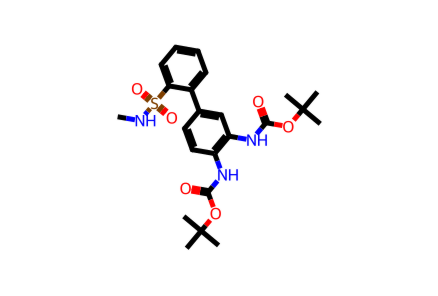 CNS(=O)(=O)c1ccccc1-c1ccc(NC(=O)OC(C)(C)C)c(NC(=O)OC(C)(C)C)c1